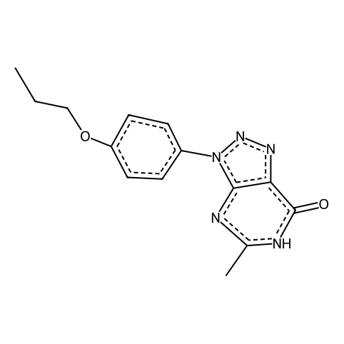 CCCOc1ccc(-n2nnc3c(=O)[nH]c(C)nc32)cc1